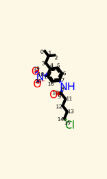 CC(C)Cc1ccc(NC(=O)CCCCCl)cc1[N+](=O)[O-]